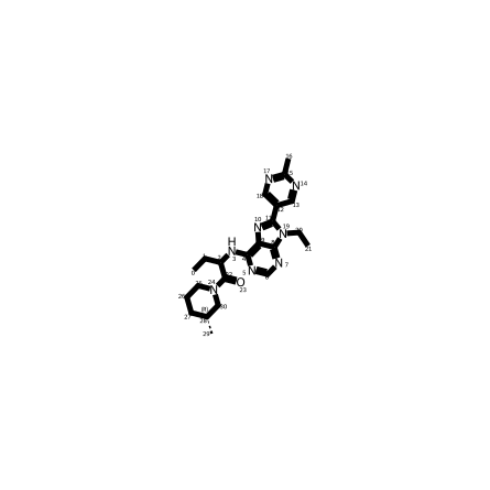 CCC(Nc1ncnc2c1nc(-c1cnc(C)nc1)n2CC)C(=O)N1CCC[C@@H](C)C1